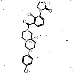 O=C(c1cccc(N2CCNC2=O)c1Cl)N1CCN2C[C@@H](c3ccc(Cl)cc3)CC[C@@H]2C1